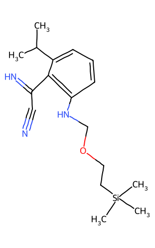 CC(C)c1cccc(NCOCC[Si](C)(C)C)c1C(=N)C#N